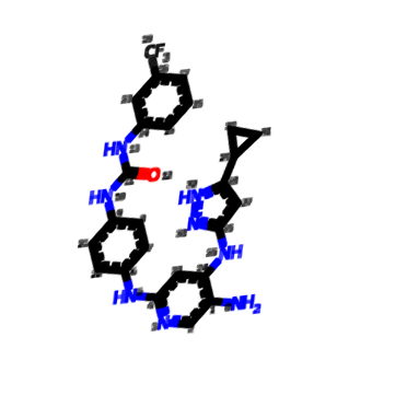 Nc1cnc(Nc2ccc(NC(=O)Nc3cccc(C(F)(F)F)c3)cc2)cc1Nc1cc(C2CC2)[nH]n1